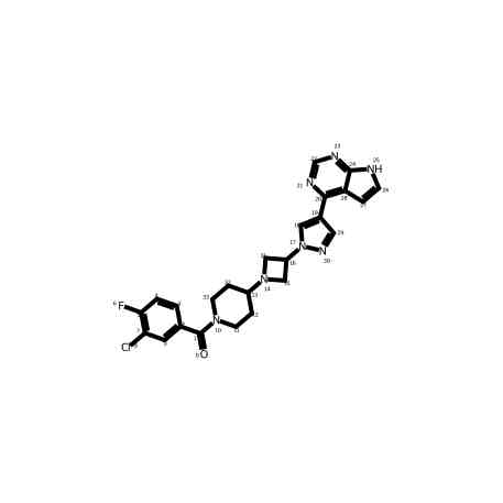 O=C(c1ccc(F)c(Cl)c1)N1CCC(N2CC(n3cc(-c4ncnc5[nH]ccc45)cn3)C2)CC1